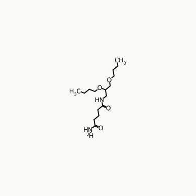 [3H]NC(=O)CCCC(=O)NCC(COCCCC)OCCCC